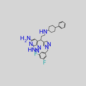 Nc1cc(C(CCNC2CCC(c3ccccc3)CC2)c2cnn(Cc3cc(F)cc(F)c3)c2)c2nn[nH]c2n1